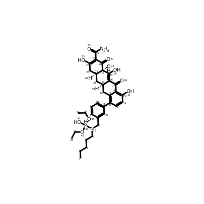 CCCCCN(Cc1cccc(-c2ccc(O)c3c2C[C@H]2C[C@H]4CC(O)=C(C(N)=O)C(=O)[C@@]4(O)C(O)=C2C3=O)c1)[PH](O)(OCC)OCC